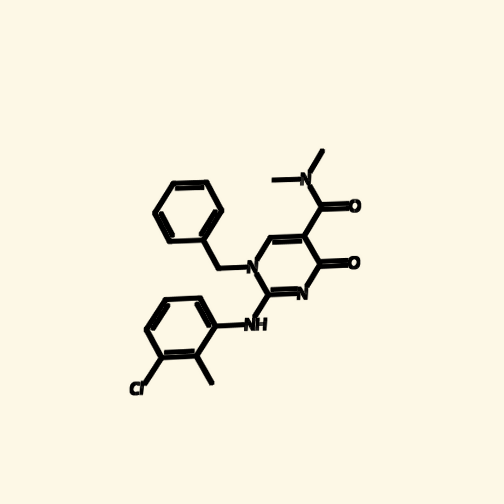 Cc1c(Cl)cccc1Nc1nc(=O)c(C(=O)N(C)C)cn1Cc1ccccc1